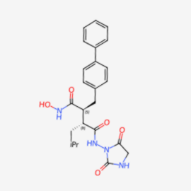 CC(C)C[C@@H](C(=O)NN1C(=O)CNC1=O)[C@H](Cc1ccc(-c2ccccc2)cc1)C(=O)NO